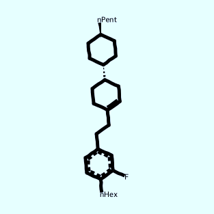 CCCCCCc1ccc(CCC2=CCC([C@H]3CC[C@H](CCCCC)CC3)CC2)cc1F